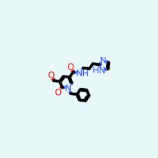 O=Cc1cc(C(=O)NCCCc2ncc[nH]2)cn(Cc2ccccc2)c1=O